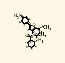 COC(=O)c1sc(-c2ccc(N)cc2)cc1N(C(=O)C1CCCCC1)C(C)C